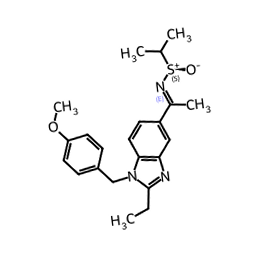 CCc1nc2cc(/C(C)=N/[S@+]([O-])C(C)C)ccc2n1Cc1ccc(OC)cc1